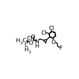 CC(C)(C)OC(=O)NCC1CC1c1c(OCCF)ccc(Cl)c1Cl